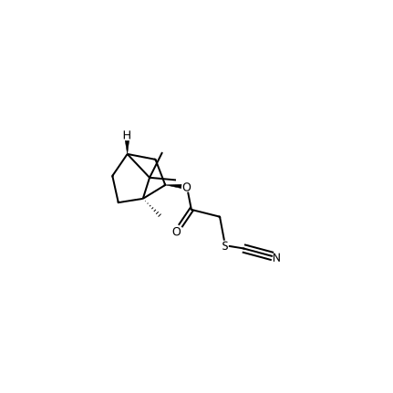 CC1(C)[C@@H]2CC[C@]1(C)[C@H](OC(=O)CSC#N)C2